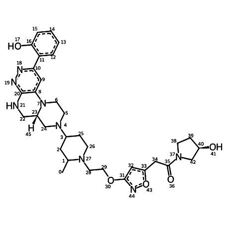 CC1CC(N2CCN3c4cc(-c5ccccc5O)nnc4NC[C@H]3C2)CCN1CCOc1cc(CC(=O)N2CC[C@@H](O)C2)on1